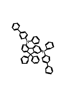 c1ccc(-c2ccc(N(c3ccccc3)c3ccc4c(c3)C(c3ccccc3)(c3ccccc3)c3cccc(N(c5ccccc5)c5ccc(-c6ccccc6)cc5)c3-4)cc2)cc1